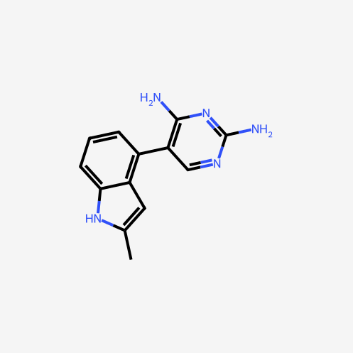 Cc1cc2c(-c3cnc(N)nc3N)cccc2[nH]1